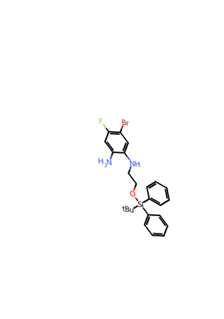 CC(C)(C)[Si](OCCNc1cc(Br)c(F)cc1N)(c1ccccc1)c1ccccc1